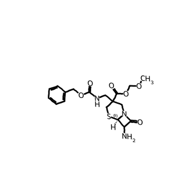 COCOC(=O)C1(CNC(=O)OCc2ccccc2)CS[C@@H]2C(N)C(=O)N2C1